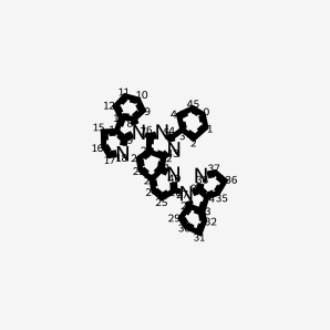 c1ccc(-c2nc(-n3c4ccccc4c4cccnc43)c3ccc4ccc(-n5c6ccccc6c6cccnc65)nc4c3n2)cc1